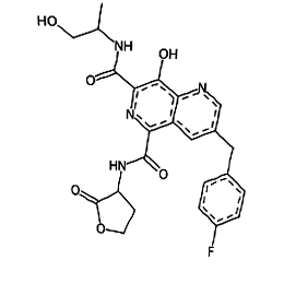 CC(CO)NC(=O)c1nc(C(=O)NC2CCOC2=O)c2cc(Cc3ccc(F)cc3)cnc2c1O